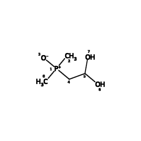 C[P+](C)([O-])CC(O)O